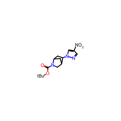 CC(C)(C)OC(=O)N1CC2CC1CC2n1cc([N+](=O)[O-])cn1